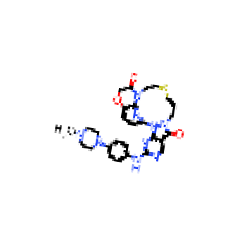 CN1CCN(c2ccc(Nc3ncc4c(=O)n5n(c4n3)-c3ccc4c(n3)N(CCS/C=C/C5)C(=O)CO4)cc2)CC1